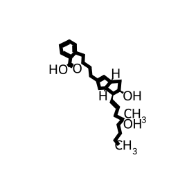 CCCC[C@@](C)(O)C/C=C/[C@H]1[C@H]2CC(CCCCc3ccccc3C(=O)O)=C[C@H]2C[C@H]1O